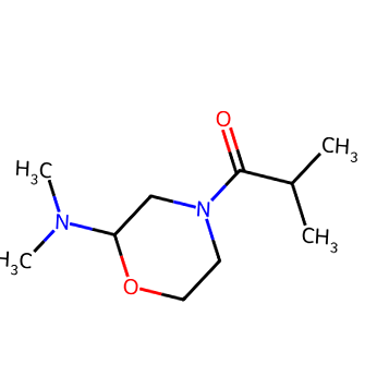 CC(C)C(=O)N1CCOC(N(C)C)C1